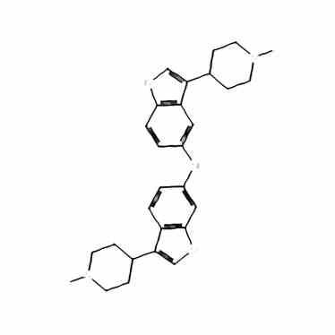 CCN1CCC(c2c[nH]c3ccc(Nc4ccc5c(C6CCN(C)CC6)c[nH]c5c4)cc23)CC1